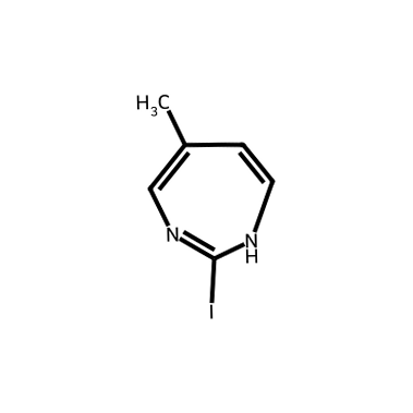 CC1=CN=C(I)NC=C1